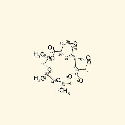 CC(COC(=O)C1CCC2OC2C1)OCC(C)OCC(C)OC(=O)C1CCC2OC2C1